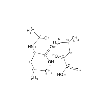 CC(=O)NC(CC(C)C)C(=O)O.CC(C)CC(=O)C(=O)O